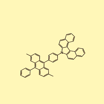 Cc1ccc2c(-c3ccc(-n4c5ccc6ccccc6c5c5c6ccccc6ccc54)cc3)c3cc(C)ccc3c(-c3ccccc3)c2c1